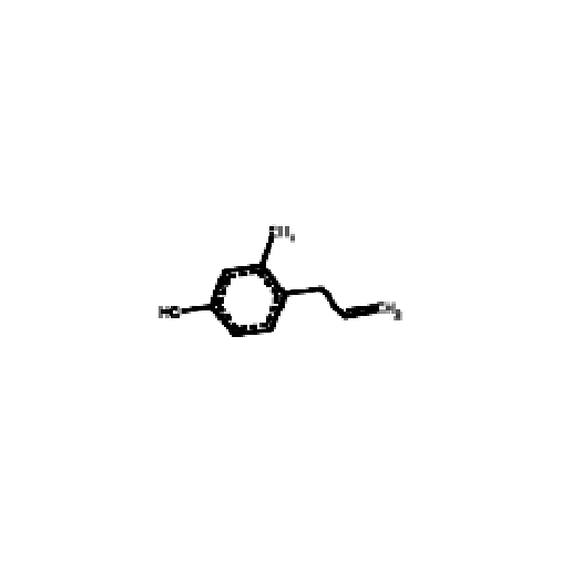 C=CCc1ccc(O)cc1C